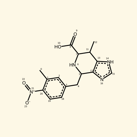 Cc1cc(CC2NC(C(=O)O)C(C)c3[nH]cnc32)ccc1[N+](=O)[O-]